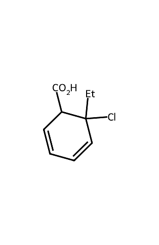 CCC1(Cl)C=CC=CC1C(=O)O